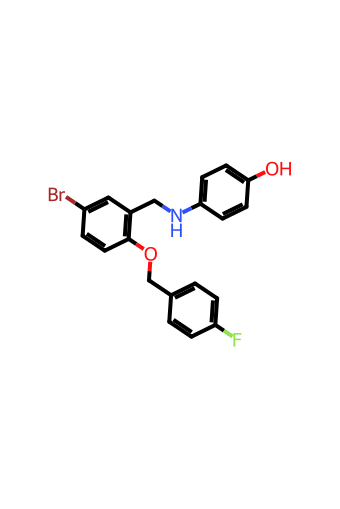 Oc1ccc(NCc2cc(Br)ccc2OCc2ccc(F)cc2)cc1